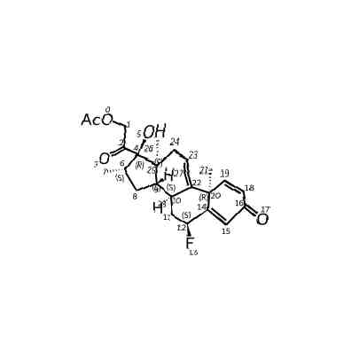 CC(=O)OCC(=O)[C@@]1(O)[C@@H](C)C[C@H]2[C@@H]3C[C@H](F)C4=CC(=O)C=C[C@]4(C)C3=CC[C@@]21C